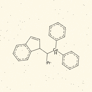 C[C](C)[CH](C1C=Cc2ccccc21)[GeH]([c]1ccccc1)[c]1ccccc1